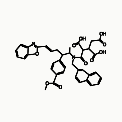 COC(=O)c1ccc(C(CC=Cc2nc3ccccc3o2)C(C)N(Cc2ccc3ccccc3c2)C(=O)C(C(=O)O)C(CC(=O)O)C(=O)O)cc1